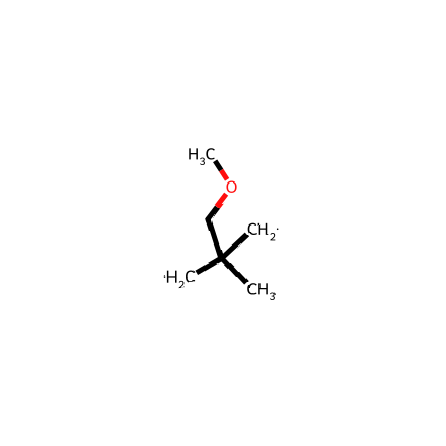 [CH2]C([CH2])(C)COC